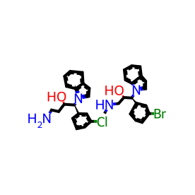 CNC[C@@H](O)[C@H](c1cccc(Br)c1)n1ccc2ccccc21.NCC[C@@H](O)[C@H](c1cccc(Cl)c1)n1ccc2ccccc21